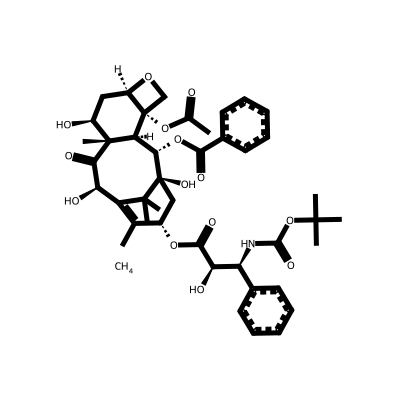 C.CC(=O)O[C@@]12CO[C@@H]1C[C@H](O)[C@@]1(C)C(=O)[C@H](O)C3=C(C)[C@@H](OC(=O)[C@H](O)[C@@H](NC(=O)OC(C)(C)C)c4ccccc4)C[C@@](O)([C@@H](OC(=O)c4ccccc4)[C@H]21)C3(C)C